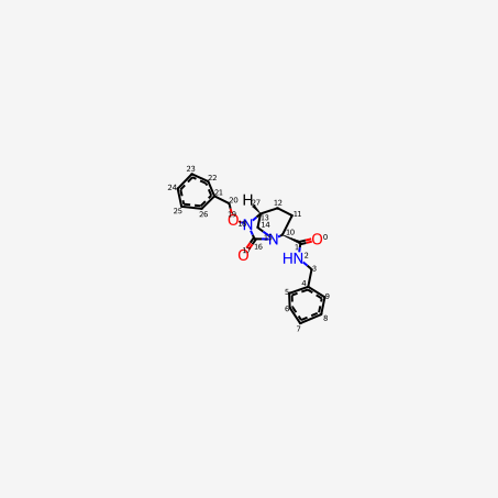 O=C(NCc1ccccc1)[C@@H]1CC[C@@H]2CN1C(=O)N2OCc1ccccc1